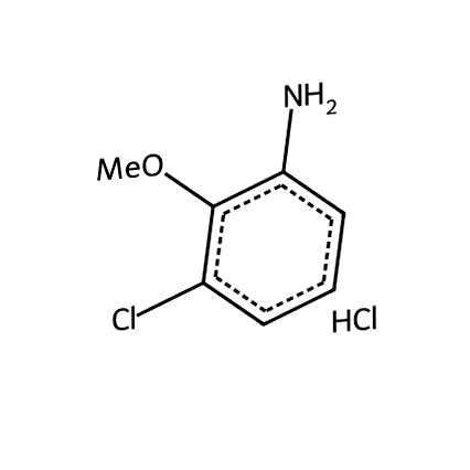 COc1c(N)cccc1Cl.Cl